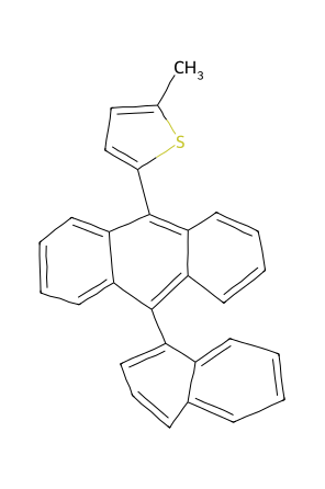 Cc1ccc(-c2c3ccccc3c(-c3cccc4ccccc34)c3ccccc23)s1